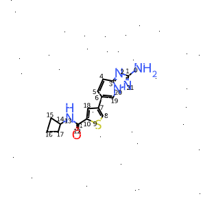 Nc1nc2ccc(-c3csc(C(=O)NC4CCC4)c3)cn2n1